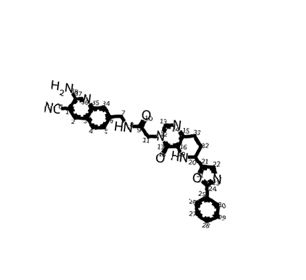 N#Cc1cc2ccc(CNC(=O)Cn3cnc4c(c3=O)NC(c3cnc(-c5ccccc5)o3)CC4)cc2nc1N